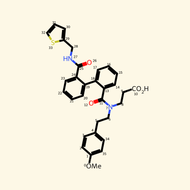 COc1ccc(CCN(CCC(=O)O)C(=O)c2ccccc2-c2ccccc2C(=O)NCc2cccs2)cc1